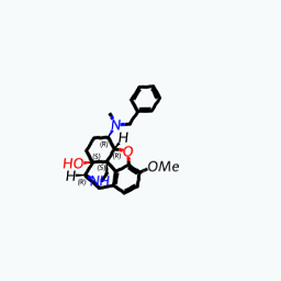 COc1ccc2c3c1O[C@H]1[C@H](N(C)Cc4ccccc4)CC[C@@]4(O)[C@@H](C2)NCC[C@]314